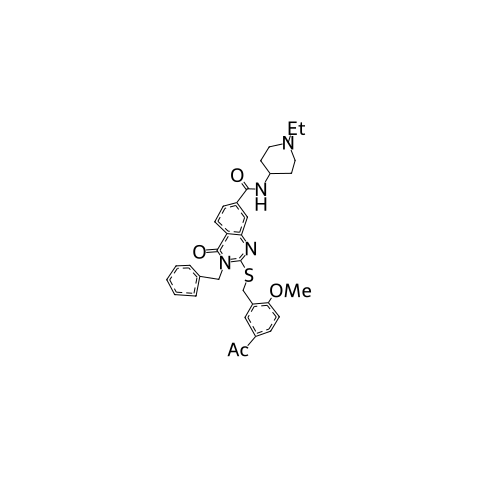 CCN1CCC(NC(=O)c2ccc3c(=O)n(Cc4ccccc4)c(SCc4cc(C(C)=O)ccc4OC)nc3c2)CC1